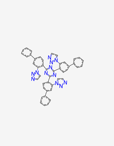 c1ccc(-c2ccc(-c3nc(-c4ccc(-c5ccccc5)cc4-n4ccnn4)nc(-c4ccc(-c5ccccc5)cc4-n4ccnn4)n3)c(-n3ccnn3)c2)cc1